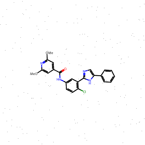 COc1cc(C(=O)Nc2ccc(Cl)c(-c3ncc(-c4ccccc4)[nH]3)c2)cc(OC)n1